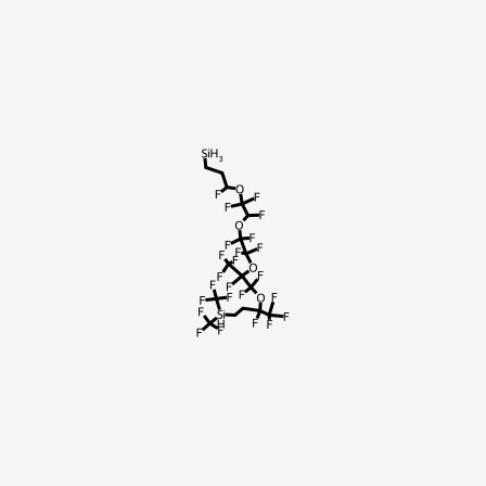 FC(CC[SiH3])OC(F)(F)C(F)OC(F)(F)C(F)(F)OC(F)(C(F)(F)F)C(F)(F)OC(F)(CC[SiH](C(F)(F)F)C(F)(F)F)C(F)(F)F